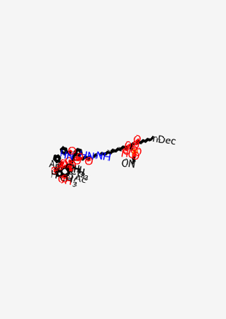 CCCCCCCCCCCCCCCCC(=O)OCC(COP(=O)(O)OCCN=O)OC(=O)CCCCCCCCCNCCNC(=O)CCC(=O)O[C@@H](C(=O)O[C@H]1C[C@@]2(O)[C@@H](OC(=O)c3ccccc3)C3[C@]4(CC(C)=O)CO[C@@H]4C[C@H](O)[C@@]3(C)C(=O)[C@H](OC(C)=O)C(=C1C)C2(C)C)[C@@H](NC(=O)c1ccccc1)c1ccccc1